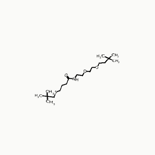 CC(C)(C)CCOCCOCCNC(=O)CCCSCC(C)(C)C